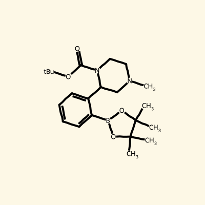 CN1CCN(C(=O)OC(C)(C)C)C(c2ccccc2B2OC(C)(C)C(C)(C)O2)C1